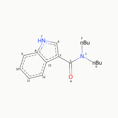 CCCCN(CCCC)C(=O)c1c[nH]c2ccccc12